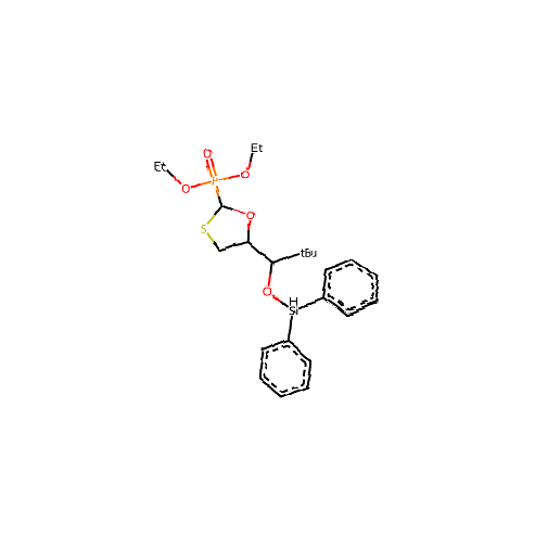 CCOP(=O)(OCC)C1OC(C(O[SiH](c2ccccc2)c2ccccc2)C(C)(C)C)CS1